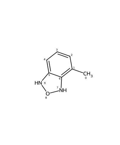 Cc1cccc2c1NON2